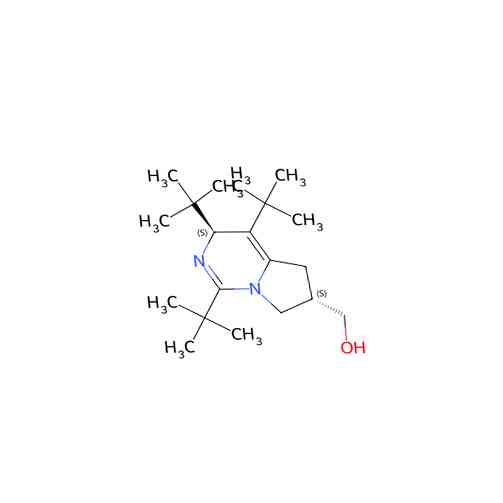 CC(C)(C)C1=N[C@@H](C(C)(C)C)C(C(C)(C)C)=C2C[C@H](CO)CN12